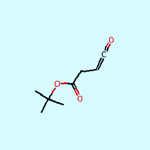 CC(C)(C)OC(=O)CC=C=O